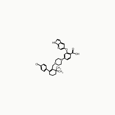 CC1(C)CCCC(c2ccc(Cl)cc2)=C1CN1CCN(c2ccc(C(=O)O)c(Oc3cnc4[nH]ccc4c3)c2)CC1